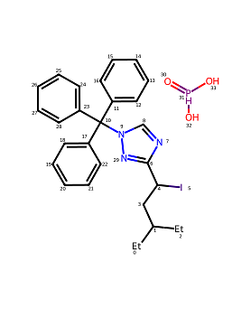 CCC(CC)CC(I)c1ncn(C(c2ccccc2)(c2ccccc2)c2ccccc2)n1.O=[PH](O)O